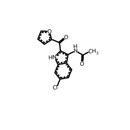 CC(=O)Nc1c(C(=O)c2ccco2)[nH]c2cc(Cl)ccc12